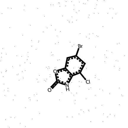 O=c1[nH]c2c(Cl)cc(Br)cc2o1